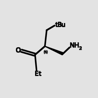 CCC(=O)[C@H](CN)CC(C)(C)C